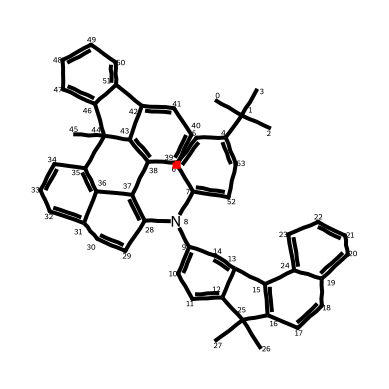 CC(C)(C)c1ccc(N(c2ccc3c(c2)-c2c(ccc4ccccc24)C3(C)C)c2ccc3cccc4c3c2-c2cccc3c2C4(C)c2ccccc2-3)cc1